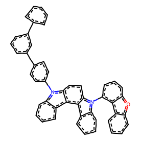 c1ccc(-c2cccc(-c3ccc(-n4c5ccccc5c5c6c7ccccc7n(-c7cccc8oc9ccccc9c78)c6ccc54)cc3)c2)cc1